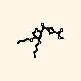 CCCCOc1cnc(C(=O)N2CC(C(=O)OC)C2)cc1OCCCC